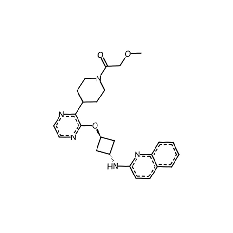 COCC(=O)N1CCC(c2nccnc2O[C@H]2C[C@H](Nc3ccc4ccccc4n3)C2)CC1